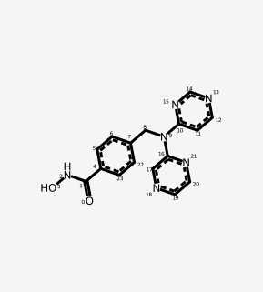 O=C(NO)c1ccc(CN(c2ccncn2)c2cnccn2)cc1